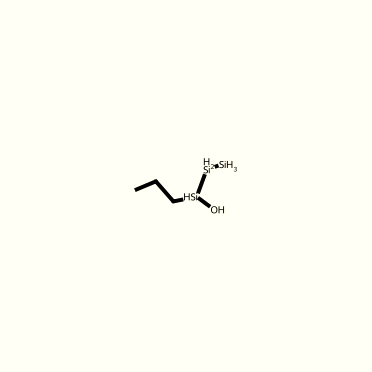 CCC[SiH](O)[SiH2][SiH3]